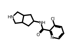 O=C(NC1CC2CNCC2C1)c1ncccc1Cl